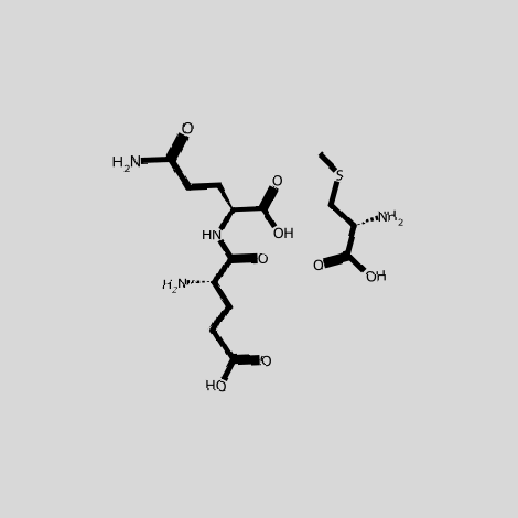 CSC[C@H](N)C(=O)O.NC(=O)CC[C@H](NC(=O)[C@@H](N)CCC(=O)O)C(=O)O